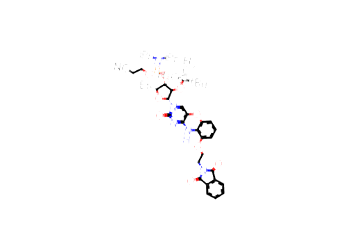 CC[C@H]1O[C@@H](n2cc3c(nc2=O)Nc2c(OCCN4C(=O)c5ccccc5C4=O)cccc2O3)C(O[Si](C)(C)C(C)(C)C)[C@H]1OP(OCCC#N)N(C(C)C)C(C)C